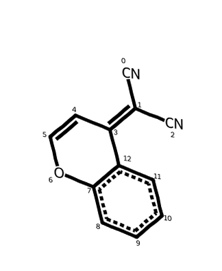 N#CC(C#N)=C1C=COc2ccccc21